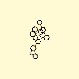 C1=CCC(c2ccccc2-c2ccccc2)(N(c2ccc(-c3ccc4sc5ccccc5c4c3)cc2)c2ccccc2-c2ccc(-c3ccccc3)cc2)C(c2ccccc2)=C1